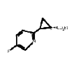 CCOC(=O)[C@H]1CC1c1ccc(F)cn1